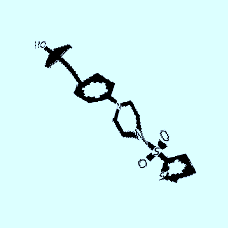 CC(C)(O)c1ccc(N2CCN(S(=O)(=O)c3cccs3)CC2)cc1